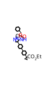 CCOC(=O)C1(c2ccc(-c3ccc(-c4cnn(C)c4NC(=O)OCc4ccccc4)cc3)cc2)CC1